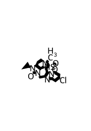 CCC(Cc1c(Cn2c(=O)n(C3CC3)c3ccncc32)nc2cc(Cl)ccn12)[SH](=O)=O